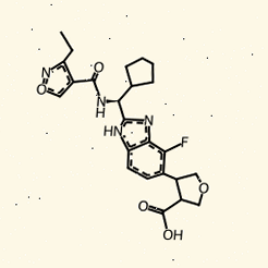 CCc1nocc1C(=O)N[C@H](c1nc2c(F)c(C3COCC3C(=O)O)ccc2[nH]1)C1CCCC1